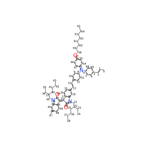 C/C=C/c1ccc(N(c2ccc(/C=C/c3ccc4c(c3)N(CC(CC)CCCC)C(=O)/C4=C3/C(=O)N(CC(CC)CCCC)c4cc(C)ccc43)cc2)c2ccc(OCCCCCCCC)cc2)cc1